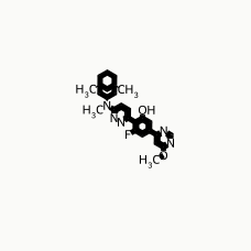 COc1cc(-c2cc(O)c(-c3ccc(N(C)[C@H]4C[C@]5(C)CCC[C@](C)(C4)C5)nn3)c(F)c2)ncn1